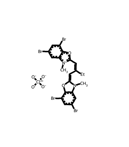 CCC(=Cc1oc2c(Br)cc(Br)cc2[n+]1C)C=C1Oc2c(Br)cc(Br)cc2N1C.[O-][Cl+3]([O-])([O-])[O-]